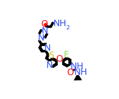 NCCC(=O)N1CCN(Cc2ccc(-c3cc4nccc(Oc5ccc(NC(=O)NC6CC6)cc5F)c4s3)nc2)CC1